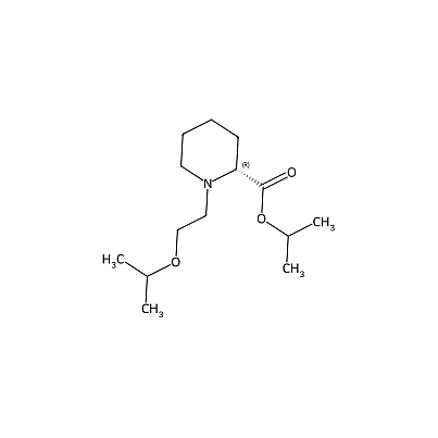 CC(C)OCCN1CCCC[C@@H]1C(=O)OC(C)C